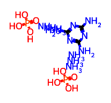 N.N.N.N.N.N.Nc1nc(N)nc(N)n1.O=P(O)(O)O.O=P(O)(O)O